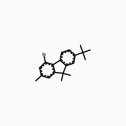 Cc1cc(Br)c2c(c1)C(C)(C)c1cc(C(C)(C)C)ccc1-2